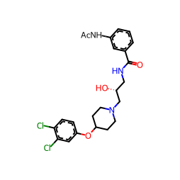 CC(=O)Nc1cccc(C(=O)NC[C@@H](O)CN2CCC(Oc3ccc(Cl)c(Cl)c3)CC2)c1